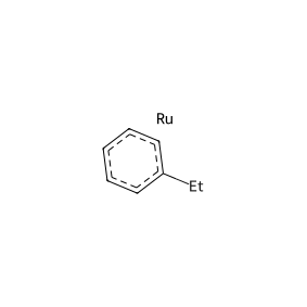 CCc1ccccc1.[Ru]